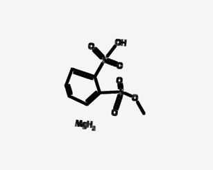 COS(=O)(=O)c1ccccc1S(=O)(=O)O.[MgH2]